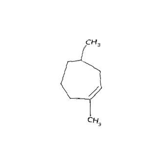 CC1=CCC(C)CCC1